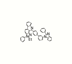 CCc1nc2c3c(-c4ccc(-c5cccc(-n6c(-c7ccccc7)nc7ccccc76)c5)cc4)nc4ccccc4c3ccc2n1-c1ccccc1